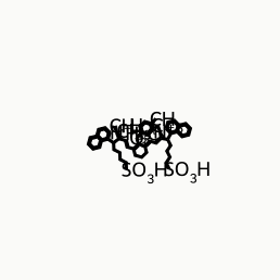 Cc1ccc(OC2=C(C=CC3C(CCCCS(=O)(=O)O)c4c(ccc5ccccc45)[N+]3(C)C)CCCC2=CC=C2C(CCCCS(=O)(=O)O)c3c(ccc4ccccc34)[N+]2(C)C)cc1